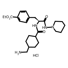 CCOC(=O)c1ccc(C[C@H](NC(=O)C2CCC(CN)CC2)C(=O)NN2CCCCC2)cc1.Cl